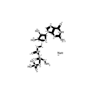 NOP(=O)(O[PH](=O)OC[C@H]1O[C@@H](n2cnc3c(=O)[nH]c(N)nc32)[C@H](O)[C@@H]1O)OP(=O)(O)O.[NaH]